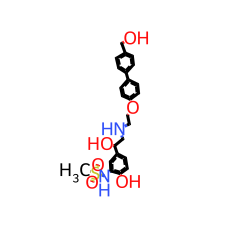 CS(=O)(=O)Nc1cc(C(O)CNCCOc2ccc(-c3ccc(CO)cc3)cc2)ccc1O